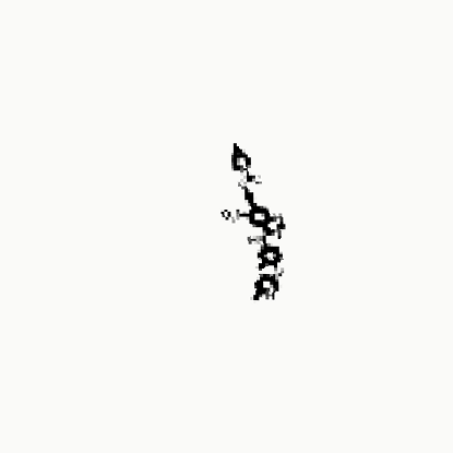 Cc1ccc(Oc2ccc(Nc3ncnc4cc(C#COC(=O)N5CC6CC6C5)c([N+](=O)[O-])cc34)cc2C)cn1